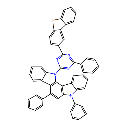 c1ccc(-c2nc(-c3ccc4sc5ccccc5c4c3)nc(-n3c4ccccc4c4c(-c5ccccc5)cc5c(c6ccccc6n5-c5ccccc5)c43)n2)cc1